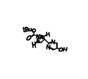 CC(C)(C)OC(=O)N1C[C@@H]2CC[C@H]1CN2c1ncc(O)cn1